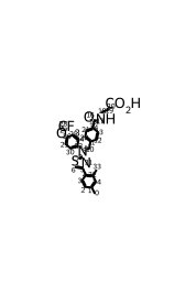 Cc1ccc(-c2csc(N(Cc3ccc(C(=O)NCCC(=O)O)cc3)c3ccc(OC(F)(F)F)cc3)n2)c(C)c1